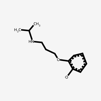 CC(C)NCCCOc1ccccc1[O]